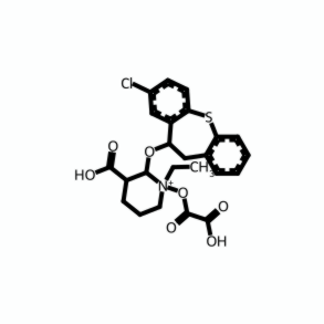 CC[N+]1(OC(=O)C(=O)O)CCCC(C(=O)O)C1OC1Cc2ccccc2Sc2ccc(Cl)cc21